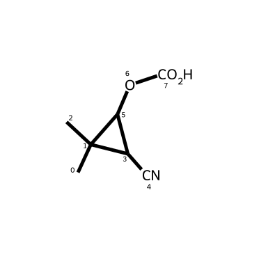 CC1(C)C(C#N)C1OC(=O)O